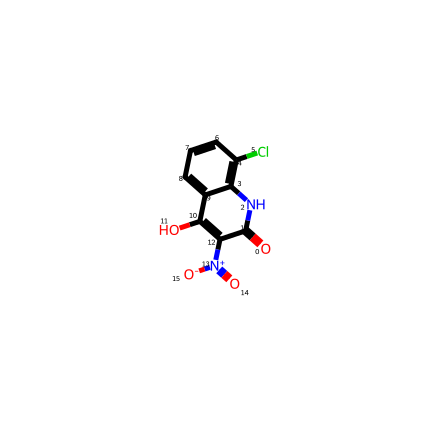 O=c1[nH]c2c(Cl)cccc2c(O)c1[N+](=O)[O-]